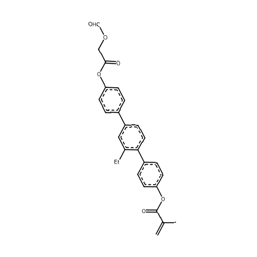 C=C(C)C(=O)Oc1ccc(-c2ccc(-c3ccc(OC(=O)COC=O)cc3)cc2CC)cc1